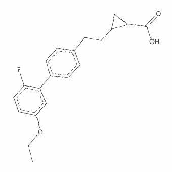 CCOc1ccc(F)c(-c2ccc(CCC3CC3C(=O)O)cc2)c1